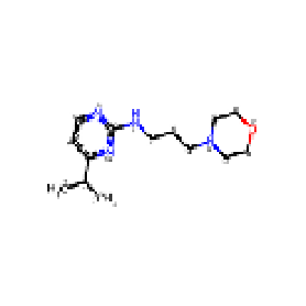 CC(C)c1ccnc(NCCCN2CCOCC2)n1